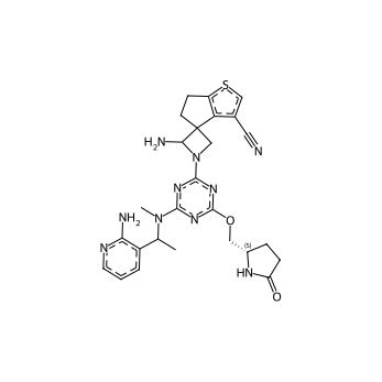 CC(c1cccnc1N)N(C)c1nc(OC[C@@H]2CCC(=O)N2)nc(N2CC3(CCc4scc(C#N)c43)C2N)n1